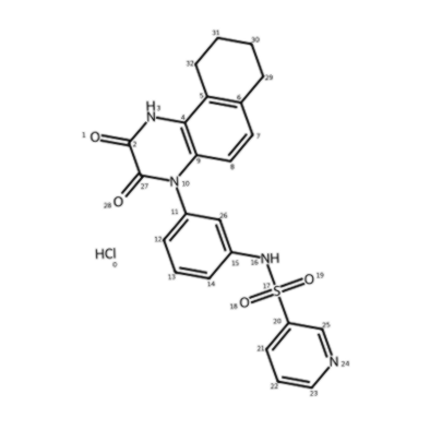 Cl.O=c1[nH]c2c3c(ccc2n(-c2cccc(NS(=O)(=O)c4cccnc4)c2)c1=O)CCCC3